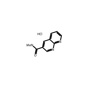 CNC(=O)c1cnc2ncccc2c1.Cl